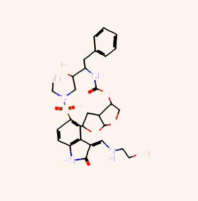 CC(C)CN(CC(O)C(Cc1ccccc1)NC(=O)OC1COC2OCCC12)S(=O)(=O)c1ccc2c(c1)C(=CNCCO)C(=O)N2